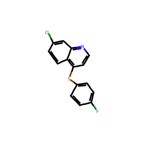 Fc1ccc(Sc2ccnc3cc(Cl)ccc23)cc1